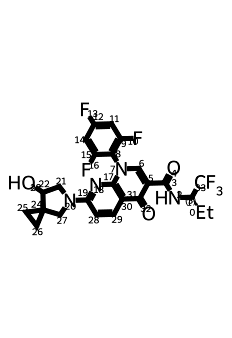 CC[C@H](NC(=O)c1cn(-c2c(F)cc(F)cc2F)c2nc(N3CC(O)C4(CC4)C3)ccc2c1=O)C(F)(F)F